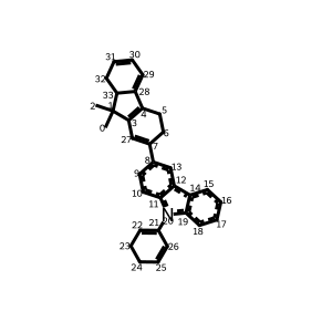 CC1(C)C2=C(CCC(c3ccc4c(c3)c3ccccc3n4C3=CCCC=C3)=C2)C2=CC=CCC21